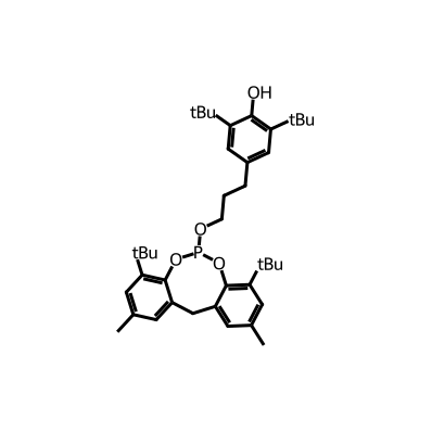 Cc1cc2c(c(C(C)(C)C)c1)OP(OCCCc1cc(C(C)(C)C)c(O)c(C(C)(C)C)c1)Oc1c(cc(C)cc1C(C)(C)C)C2